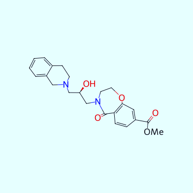 COC(=O)c1ccc2c(c1)OCCN(C[C@H](O)CN1CCc3ccccc3C1)C2=O